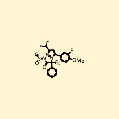 CCC(C(=O)N=S(=O)=O)(c1ccccc1)n1nc(C(F)F)cc1-c1ccc(OC)c(F)c1